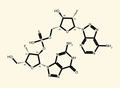 Nc1nc2c(nnn2[C@@H]2O[C@H](CO)[C@H](F)[C@H]2OP(O)(=S)OC[C@H]2O[C@@H](n3nnc4c(N)ncnc43)[C@@H](F)[C@@H]2O)c(=O)[nH]1